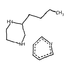 CCCCC1CNCCN1.c1ccncc1